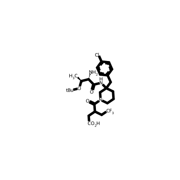 C[C@H](OC(C)(C)C)[C@H](N)C(=O)NC1(Cc2ccc(Cl)cc2)CCCN(C(=O)C(CC(=O)O)CC(F)(F)F)C1